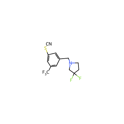 N#CSc1cc(CN2CCC(F)(F)C2)cc(C(F)(F)F)c1